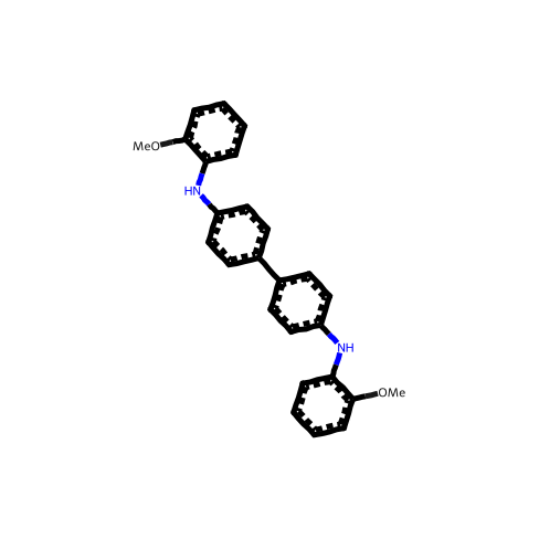 COc1ccccc1Nc1ccc(-c2ccc(Nc3ccccc3OC)cc2)cc1